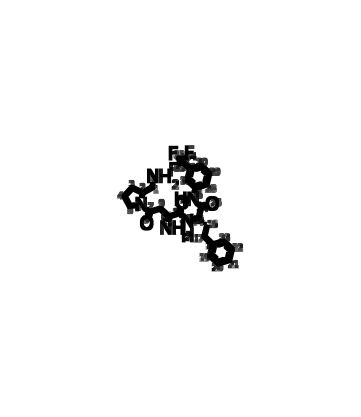 NCC1CCCN1C(=O)C[C@H](N)C(=O)N[C@@H](CCc1ccccc1)C(=O)Nc1cccc(C(F)(F)F)c1